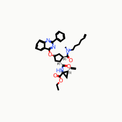 C=CCCCCN(C)C(=O)[C@@H]1C[C@H](Oc2nc(-c3ccccc3)nc3ccccc23)C[C@H]1C(=O)N[C@]1(C(=O)OCC)C[C@H]1C=C